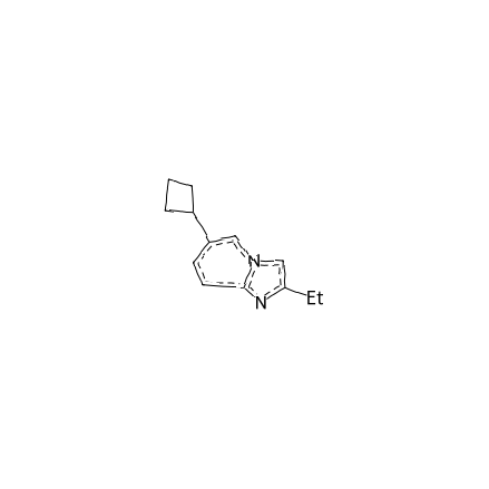 CCc1cn2cc(C3CCC3)ccc2n1